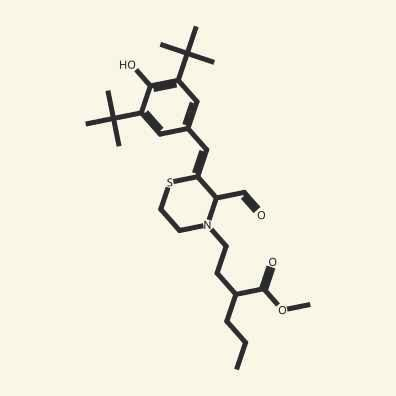 CCCC(CCN1CCSC(=Cc2cc(C(C)(C)C)c(O)c(C(C)(C)C)c2)C1C=O)C(=O)OC